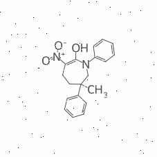 CC1(c2ccccc2)CCC([N+](=O)[O-])=C(O)N(c2ccccc2)C1